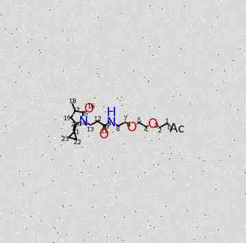 CC(=O)CCOCCOCCNC(=O)CCN1C(=O)C(C)CC1=C1CC1